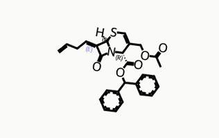 C=CC/C=C1\C(=O)N2[C@@H](C(=O)OC(c3ccccc3)c3ccccc3)C(COC(C)=O)=CS[C@H]12